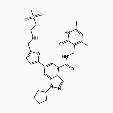 Cc1cc(C)c(CNC(=O)c2cc(-c3ccc(CNCCS(C)(=O)=O)o3)cc3c2cnn3C2CCCC2)c(=O)[nH]1